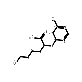 C=C(C)C(CCCCC)OC1CC(Cl)=NC=N1